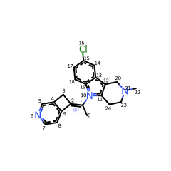 C/C(=C1/Cc2cnccc21)n1c2c(c3cc(Cl)ccc31)CN(C)CC2